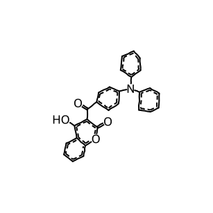 O=C(c1ccc(N(c2ccccc2)c2ccccc2)cc1)c1c(O)c2ccccc2oc1=O